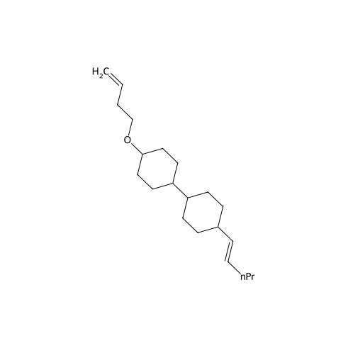 C=CCCOC1CCC(C2CCC(C=CCCC)CC2)CC1